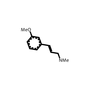 CNCC=Cc1cccc(OC)c1